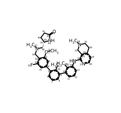 COc1cc(-c2cccc(-c3cccc(Nc4nccc5c4CN(C)CC5)c3C)c2C)cc(F)c1CN(C)C[C@@H]1CCC(=O)N1